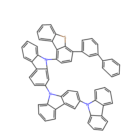 c1ccc(-c2cccc(-c3ccc(-n4c5ccccc5c5ccc(-n6c7ccccc7c7cc(-n8c9ccccc9c9ccccc98)ccc76)cc54)c4c3sc3ccccc34)c2)cc1